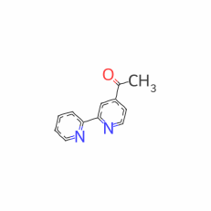 CC(=O)c1ccnc(-c2ccccn2)c1